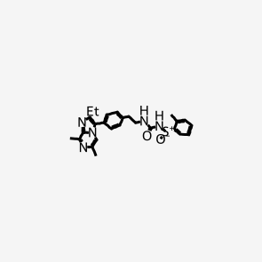 CCc1nc2c(C)nc(C)cn2c1-c1ccc(CCNC(=O)N[S+]([O-])c2ccccc2C)cc1